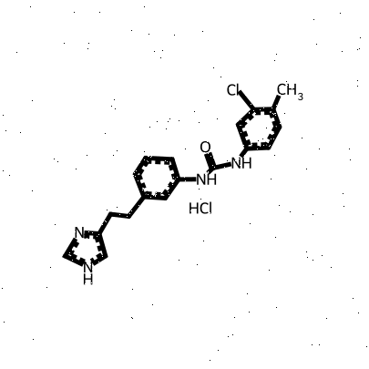 Cc1ccc(NC(=O)Nc2cccc(CCc3c[nH]cn3)c2)cc1Cl.Cl